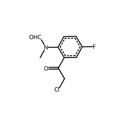 CN(C=O)c1ccc(F)cc1C(=O)CCl